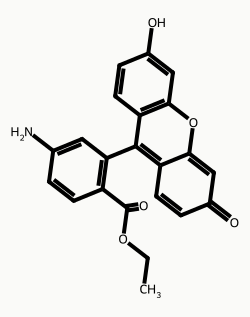 CCOC(=O)c1ccc(N)cc1-c1c2ccc(=O)cc-2oc2cc(O)ccc12